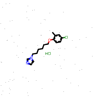 Cc1cc(Cl)ccc1OCCCCCCn1ccnc1.Cl